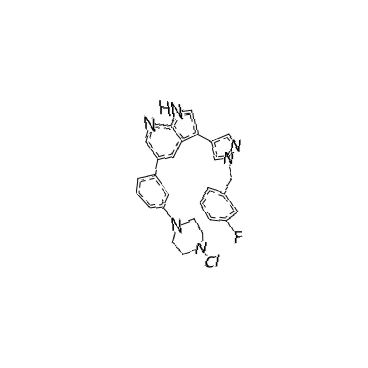 Fc1cccc(Cn2cc(-c3c[nH]c4ncc(-c5cccc(N6CCN(Cl)CC6)c5)cc34)cn2)c1